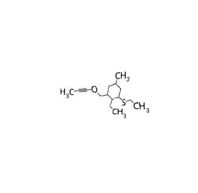 CC#COCC1CC(C)CC(SCC)C1CC